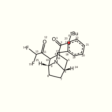 CC(C)(C)OC(=O)N1C[C@@H]2CC[C@H](C1C(=O)C(F)F)N2Cc1ccccc1